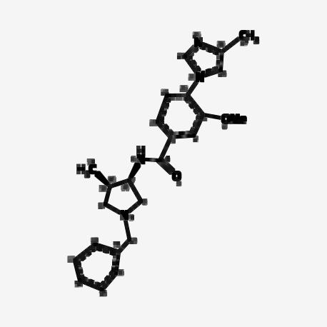 COc1cc(C(=O)N[C@H]2CN(Cc3ccccc3)C[C@H]2C)ccc1-n1cnc(C)c1